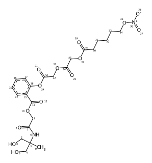 CC(CO)(CO)NC(=O)COC(=O)c1ccccc1OC(=O)COC(=O)COC(=O)CCCCCO[N+](=O)[O-]